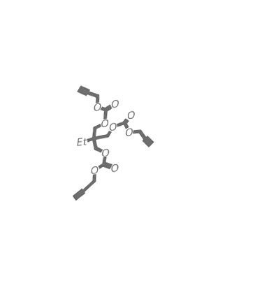 C#CCOC(=O)OCC(CC)(COC(=O)OCC#C)COC(=O)OCC#C